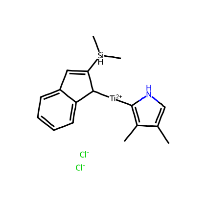 Cc1c[nH][c]([Ti+2][CH]2C([SiH](C)C)=Cc3ccccc32)c1C.[Cl-].[Cl-]